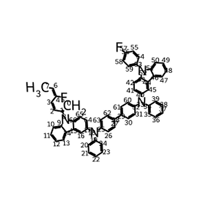 C=C(/C=C\C(F)=C/C)n1c2ccccc2c2cc(N(c3ccccc3)c3ccc(-c4ccc(N(c5ccccc5)c5ccc6c(c5)c5ccccc5n6-c5ccc(F)cc5)cc4)cc3)ccc21